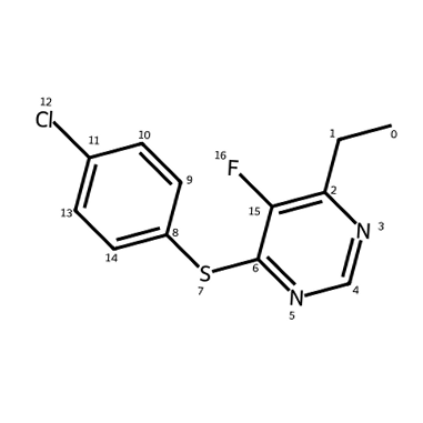 CCc1ncnc(Sc2ccc(Cl)cc2)c1F